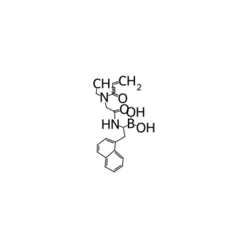 C=CC(=O)N(CC)CC(=O)NC(Cc1cccc2ccccc12)B(O)O